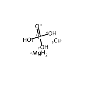 O=P(O)(O)O.[Cu].[MgH2]